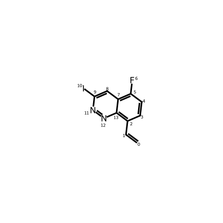 C=Cc1ccc(F)c2cc(I)nnc12